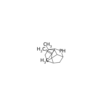 C=C1CC2CC3PC1C1(C)CC2C3C1C